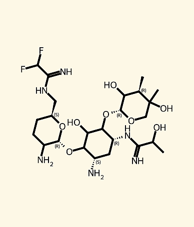 CC(O)C(=N)N[C@@H]1C[C@H](N)C(O[C@H]2O[C@H](CNC(=N)C(F)F)CCC2N)C(O)C1O[C@H]1OCC(C)(O)[C@H](C)C1O